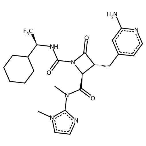 CN(C(=O)[C@@H]1[C@@H](Cc2ccnc(N)c2)C(=O)N1C(=O)N[C@@H](C1CCCCC1)C(F)(F)F)c1nccn1C